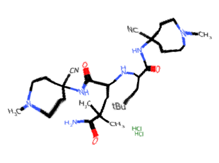 CN1CCC(C#N)(NC(=O)C(CC(C)(C)C)NC(CC(C)(C)C(N)=O)C(=O)NC2(C#N)CCN(C)CC2)CC1.Cl.Cl